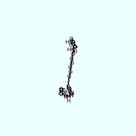 Cc1nc(Nc2ncc(C(=O)Nc3c(C)cccc3Cl)s2)cc(N2CCN(CCCCCCOCCOCCOCCOCCOCCOCC(=O)Nc3cccc(N4CCC(=O)NC4=O)c3)CC2)n1